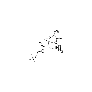 CC(C)(C)CC(C(=O)OCC[N+](C)(C)C)C(C)(C)PC(C(=O)ON)C(C)(C)C